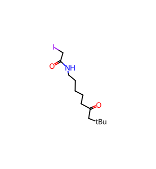 CC(C)(C)CC(=O)CCCCCNC(=O)CI